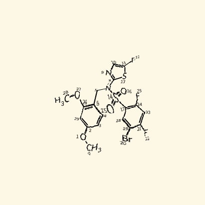 COc1ccc(CN(c2ncc(F)s2)S(=O)(=O)c2cc(Br)c(F)cc2F)c(OC)c1